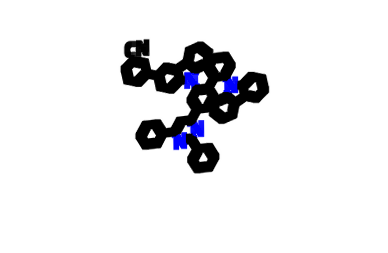 N#Cc1cccc(-c2ccc3c(c2)c2ccccc2n3-c2cc(-c3cc(-c4ccccc4)nc(-c4ccccc4)n3)ccc2-c2ccccc2-n2c3ccccc3c3ccccc32)c1